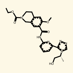 CCOC(=O)N1CCc2cc(OC)c(C(=O)Nc3cccc(-c4nncn4[C@H](C)CO)n3)cc2C1